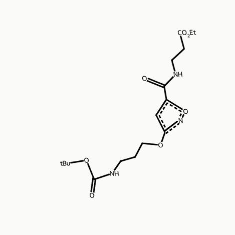 CCOC(=O)CCNC(=O)c1cc(OCCCNC(=O)OC(C)(C)C)no1